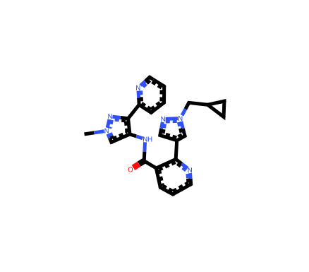 Cn1cc(NC(=O)c2cccnc2-c2cnn(CC3CC3)c2)c(-c2ccccn2)n1